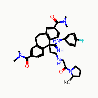 CN(C)C(=O)c1ccc2c(c1)CCc1cc(C(=O)N(C)C)ccc1C2(CCNCC(=O)N1CCCC1C#N)C(=N)Nc1ccc(F)cc1